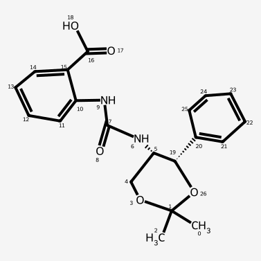 CC1(C)OC[C@H](NC(=O)Nc2ccccc2C(=O)O)[C@H](c2ccccc2)O1